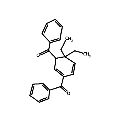 CCC1(CC)C=CC(C(=O)c2ccccc2)=CC1C(=O)c1ccccc1